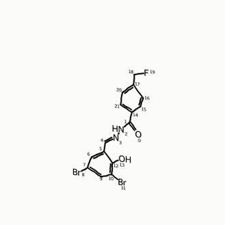 O=C(NN=Cc1cc(Br)cc(Br)c1O)c1ccc(CF)cc1